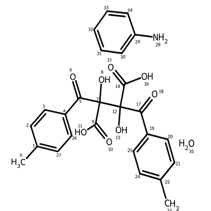 Cc1ccc(C(=O)C(O)(C(=O)O)C(O)(C(=O)O)C(=O)c2ccc(C)cc2)cc1.Nc1ccccc1.O